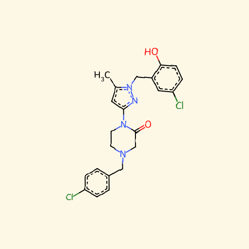 Cc1cc(N2CCN(Cc3ccc(Cl)cc3)CC2=O)nn1Cc1cc(Cl)ccc1O